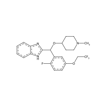 CN1CCC(OC(c2nc3ccccc3[nH]2)c2cc(OCC(F)(F)F)ccc2F)CC1